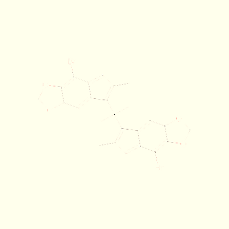 CC1=C(C(C)(C)C2=C(C)C=C3C2=CC2OCOC2=C3Br)C2=CC3OCOC3=C(Br)C2=C1